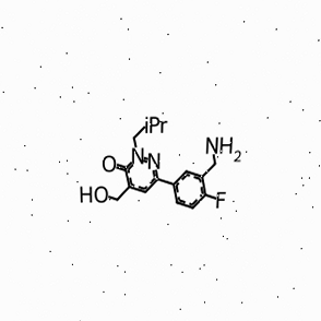 CC(C)Cn1nc(-c2ccc(F)c(CN)c2)cc(CO)c1=O